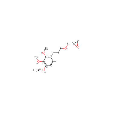 CCOc1c(CCCOCC2CO2)ccc(O[SiH3])c1OCC